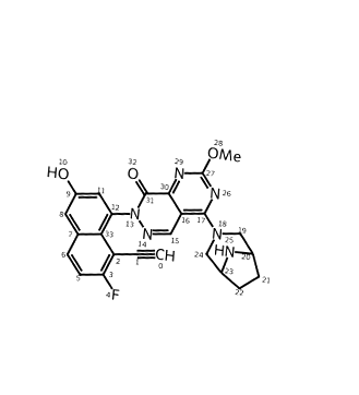 C#Cc1c(F)ccc2cc(O)cc(-n3ncc4c(N5CC6CCC(C5)N6)nc(OC)nc4c3=O)c12